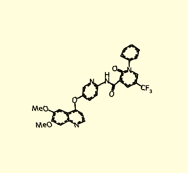 COc1cc2nccc(Oc3ccc(NC(=O)c4cc(C(F)(F)F)cn(-c5ccccc5)c4=O)nc3)c2cc1OC